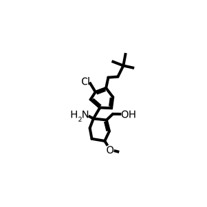 COC1C=C(CO)C(N)(c2ccc(CCC(C)(C)C)c(Cl)c2)CC1